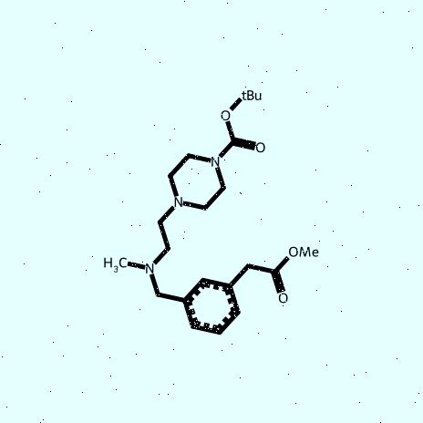 COC(=O)Cc1cccc(CN(C)CCN2CCN(C(=O)OC(C)(C)C)CC2)c1